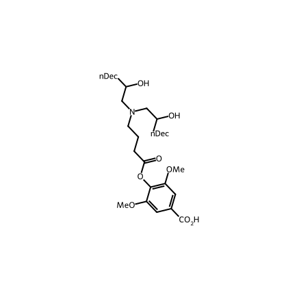 CCCCCCCCCCC(O)CN(CCCC(=O)Oc1c(OC)cc(C(=O)O)cc1OC)CC(O)CCCCCCCCCC